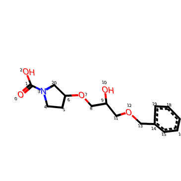 O=C(O)N1CCC(OCC(O)COCc2ccccc2)C1